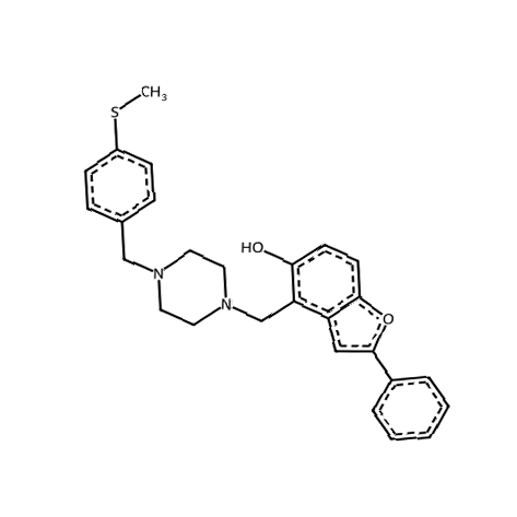 CSc1ccc(CN2CCN(Cc3c(O)ccc4oc(-c5ccccc5)cc34)CC2)cc1